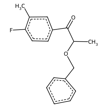 Cc1cc(C(=O)C(C)OCc2ccccc2)ccc1F